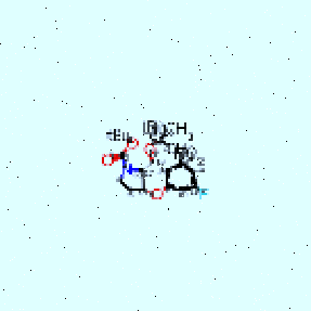 CC(C)(C)OC(=O)N1CC[C@H](Oc2cc(F)cc([N+](=O)[O-])c2)[C@H]1CO[Si](C)(C)C(C)(C)C